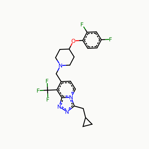 Fc1ccc(OC2CCN(Cc3ccn4c(CC5CC5)nnc4c3C(F)(F)F)CC2)c(F)c1